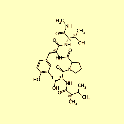 CNC(=O)[C@@H](NC(=O)[C@H](Cc1ccc(O)c(I)c1)NC(=O)C1CCCN1C(=O)[C@H](CO)NC(=O)[C@@H](C)C(C)C)[C@H](C)O